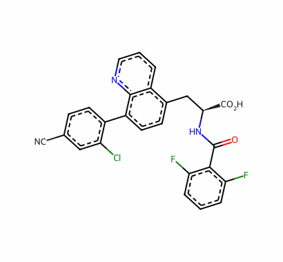 N#Cc1ccc(-c2ccc(C[C@H](NC(=O)c3c(F)cccc3F)C(=O)O)c3cccnc23)c(Cl)c1